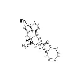 CC(C)n1cc2c3c(cccc31)C1C[C@@H](C(=O)NC3CCCCCCC3)CN(C)[C@@H]1C2